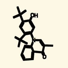 Cc1cn(-c2cc(O)c(C(C)(C)C)cc2C(C)(C)C)c2ccccc2c1=O